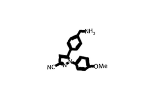 COc1ccc(-n2nc(C#N)cc2-c2ccc(CN)cc2)cc1